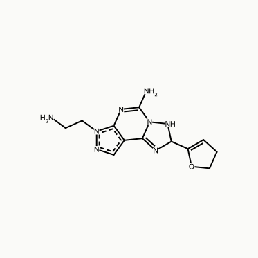 NCCn1ncc2c1N=C(N)N1NC(C3=CCCO3)N=C21